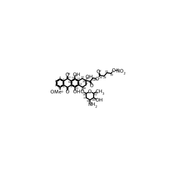 COc1cccc2c1C(=O)c1c(O)c3c(c(O)c1C2=O)C[C@@](O)(C(=O)COC(=O)CCCO[N+](=O)[O-])C[C@@H]3OC1CC(N)C(O)C(C)O1